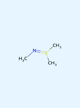 CN=S(C)C